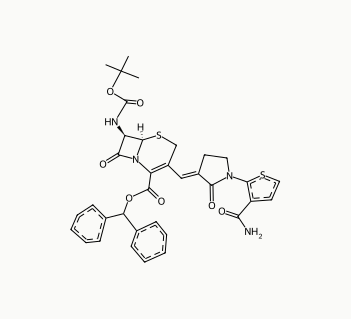 CC(C)(C)OC(=O)N[C@@H]1C(=O)N2C(C(=O)OC(c3ccccc3)c3ccccc3)=C(/C=C3\CCN(c4sccc4C(N)=O)C3=O)CS[C@H]12